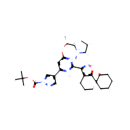 C[C@H](Oc1cc(-c2cnn(C(=O)OC(C)(C)C)c2)nc(-c2noc3c2CCC[C@@]32CCCCC2=O)n1)[C@@H]1CCCN1C